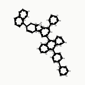 C1=CC(c2cccc3ccccc23)Cc2oc3c(-c4ccccc4)cc(-c4c5ccccc5c(-c5ccc(-c6ccccc6)cc5)c5ccccc45)cc3c21